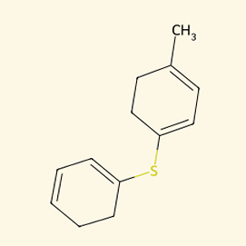 CC1=CC=C(SC2=CC=CCC2)CC1